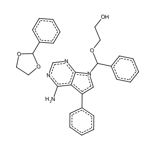 Nc1ncnc2c1c(-c1ccccc1)cn2C(OCCO)c1ccccc1.c1ccc(C2OCCO2)cc1